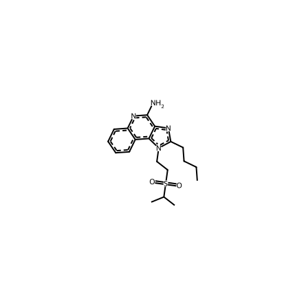 CCCCc1nc2c(N)nc3ccccc3c2n1CCS(=O)(=O)C(C)C